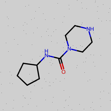 O=C(NC1CCCC1)N1CCNCC1